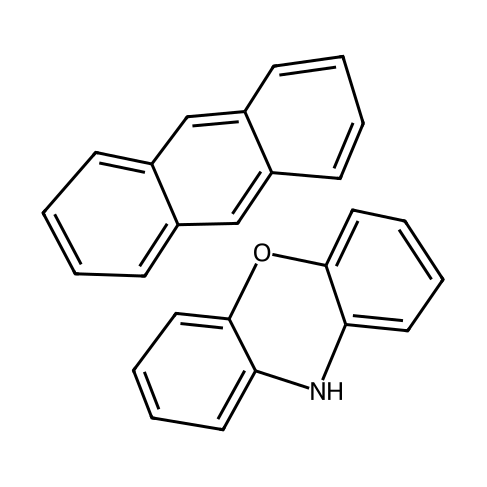 c1ccc2c(c1)Nc1ccccc1O2.c1ccc2cc3ccccc3cc2c1